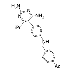 CC(=O)c1ccc(CNc2ccc(-c3c(N)nc(N)nc3C(C)C)cc2)cc1